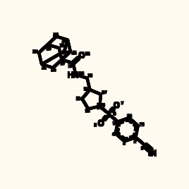 N#Cc1ccc(S(=O)(=O)N2CCC(CNC(=O)C34CC5CC(CC(C5)C3)C4)C2)cc1